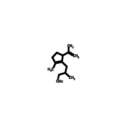 C=C(C)C1CCC(C)=C1CC(C)COC(C)=O